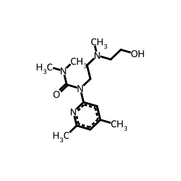 Cc1cc(C)nc(N(CCN(C)CCO)C(=O)N(C)C)c1